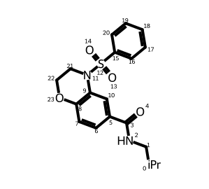 CC(C)CNC(=O)c1ccc2c(c1)N(S(=O)(=O)c1ccccc1)CCO2